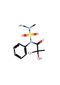 CCCN(C)S(=O)(=O)N(C(=O)C(C)(O)C(F)(F)F)c1ccccc1